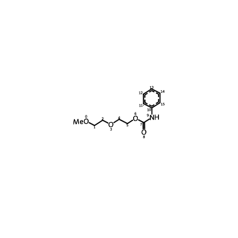 COCCOCCOC(=O)Nc1[c]cccc1